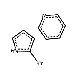 CC(C)c1ccc[nH]1.c1ccncc1